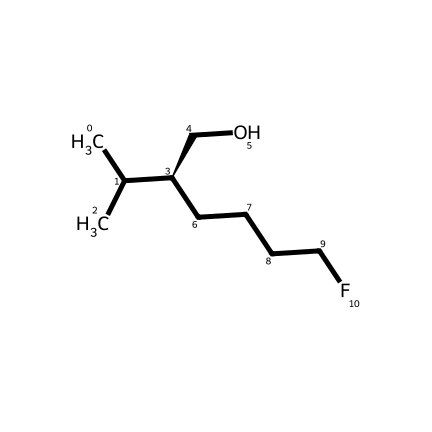 CC(C)[C@@H](CO)CCCCF